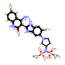 CS(=O)(=O)N(C1CCN(c2cc3nc(-c4c(N)c5cc(Cl)ccc5[nH]c4=O)[nH]c3cc2F)C1)S(C)(=O)=O